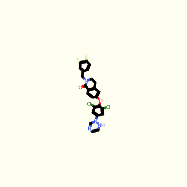 O=C1c2ccc(Oc3c(Cl)cc(N4C=NC=CN4)cc3Cl)cc2CCN1Cc1ccc(F)c(F)c1